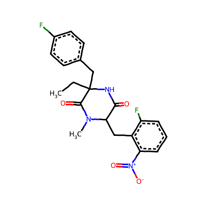 CCC1(Cc2ccc(F)cc2)NC(=O)C(Cc2c(F)cccc2[N+](=O)[O-])N(C)C1=O